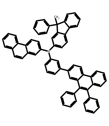 CC1(c2ccccc2)c2ccccc2-c2ccc(N(c3cccc(-c4ccc5c(c4)c(-c4ccccc4)c(-c4ccccc4)c4ccccc45)c3)c3ccc4c(ccc5ccccc54)c3)cc21